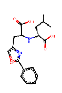 CC(C)C[C@H](N[C@@H](Cc1coc(-c2ccccc2)n1)C(=O)O)C(=O)O